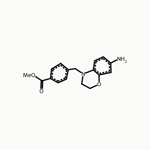 COC(=O)c1ccc(CN2CCOc3cc(N)ccc32)cc1